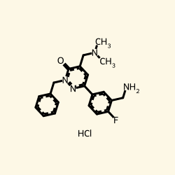 CN(C)Cc1cc(-c2ccc(F)c(CN)c2)nn(Cc2ccccc2)c1=O.Cl